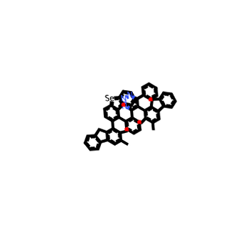 Cc1cc2c(c(-c3ccc4[se]c5ccccc5c4c3-c3ccccc3-c3nnnc(-c4ccccc4)c3-c3c(C)c(C)cc4c3Cc3ccccc3-4)c1C)Cc1ccccc1-2